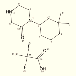 CC1(C)CCCC(N2CCNCC2=O)C1.O=C(O)C(F)(F)F